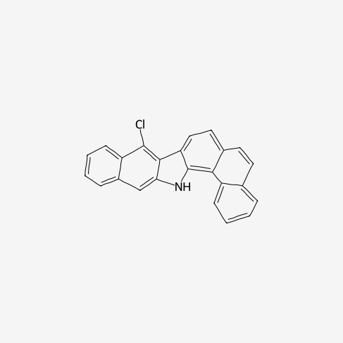 Clc1c2ccccc2cc2[nH]c3c(ccc4ccc5ccccc5c43)c12